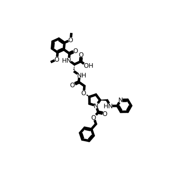 COc1cccc(OC)c1C(=O)N[C@@H](CNC(=O)CO[C@@H]1C[C@@H](CNc2ccccn2)N(C(=O)OCc2ccccc2)C1)C(=O)O